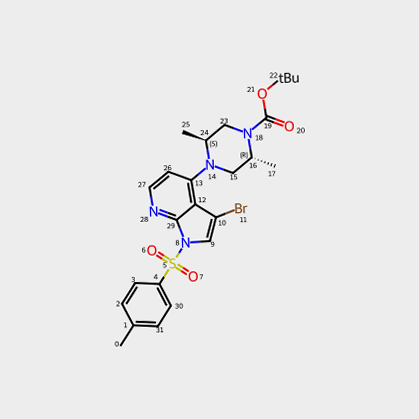 Cc1ccc(S(=O)(=O)n2cc(Br)c3c(N4C[C@@H](C)N(C(=O)OC(C)(C)C)C[C@@H]4C)ccnc32)cc1